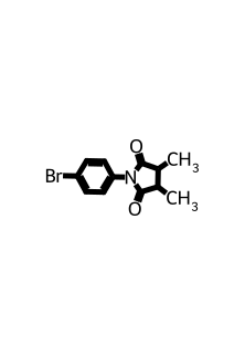 CC1C(=O)N(c2ccc(Br)cc2)C(=O)C1C